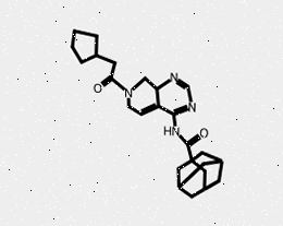 O=C(CC1CCCC1)N1CC=C2C(NC(=O)C34CC5CC(CC(C5)C3)C4)=NC=NC2C1